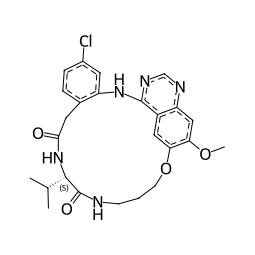 COc1cc2ncnc3c2cc1OCCCNC(=O)[C@H](C(C)C)NC(=O)Cc1ccc(Cl)cc1N3